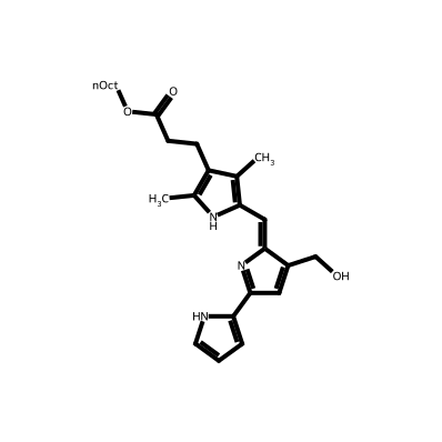 CCCCCCCCOC(=O)CCc1c(C)[nH]c(/C=C2\N=C(c3ccc[nH]3)C=C2CO)c1C